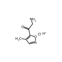 Cc1cnoc1C(=O)CN.[Cl-].[H+]